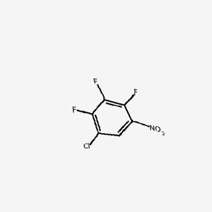 O=[N+]([O-])c1cc(Cl)c(F)c(F)c1F